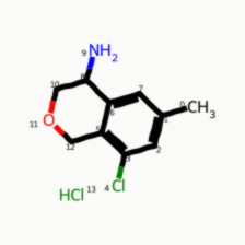 Cc1cc(Cl)c2c(c1)C(N)COC2.Cl